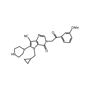 COc1cccc(C(=O)Cn2cnc3c(C#N)c(N4CCNCC4)n(CC4CC4)c3c2=O)c1